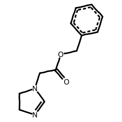 O=C(CN1C=NCC1)OCc1ccccc1